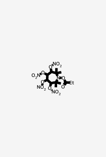 CCC(=O)ON1C(C)(C)C(O[N+](=O)[O-])C(O[N+](=O)[O-])C(O[N+](=O)[O-])C(O[N+](=O)[O-])C1(C)C